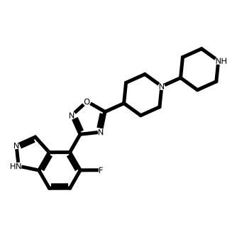 Fc1ccc2[nH]ncc2c1-c1noc(C2CCN(C3CCNCC3)CC2)n1